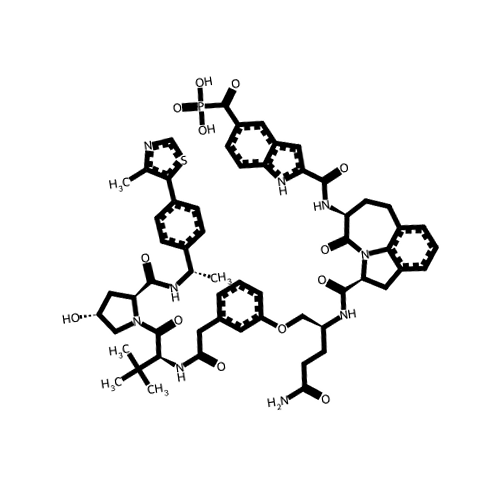 Cc1ncsc1-c1ccc([C@H](C)NC(=O)[C@@H]2C[C@@H](O)CN2C(=O)[C@@H](NC(=O)Cc2cccc(OC[C@H](CCC(N)=O)NC(=O)[C@@H]3Cc4cccc5c4N3C(=O)[C@@H](NC(=O)c3cc4cc(C(=O)P(=O)(O)O)ccc4[nH]3)CC5)c2)C(C)(C)C)cc1